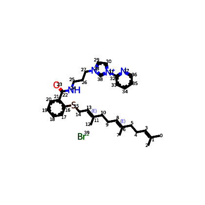 CC(C)=CCC/C(C)=C/CC/C(C)=C/CSc1ccccc1C(=O)NCCCn1cc[n+](-c2ccccn2)c1.[Br-]